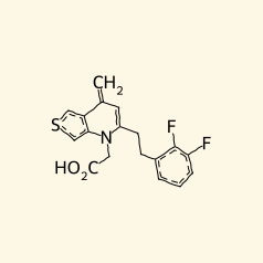 C=C1C=C(CCc2cccc(F)c2F)N(CC(=O)O)c2cscc21